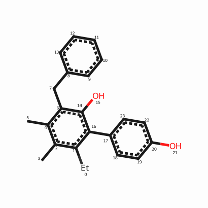 CCc1c(C)c(C)c(Cc2ccccc2)c(O)c1-c1ccc(O)cc1